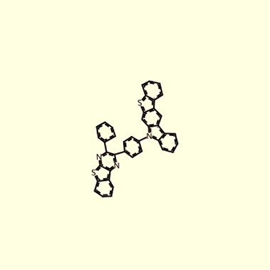 c1ccc(-c2nc3sc4ccccc4c3nc2-c2ccc(-n3c4ccccc4c4cc5c(cc43)sc3ccccc35)cc2)cc1